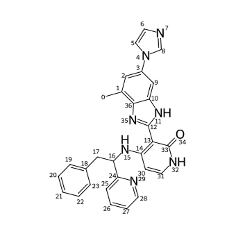 Cc1cc(-n2ccnc2)cc2[nH]c(-c3c(NC(Cc4ccccc4)c4ccccn4)cc[nH]c3=O)nc12